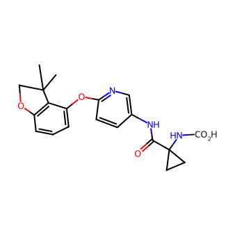 CC1(C)COc2cccc(Oc3ccc(NC(=O)C4(NC(=O)O)CC4)cn3)c21